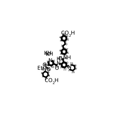 CCN(C1CCC(C(=O)O)CC1)S(=O)(=O)c1cncc(C(=O)Nc2ccc(N3CCCCC3)cc2C(=O)Nc2ccc(CCc3ccc(C(=O)O)cc3)cc2)c1.[KH].[KH]